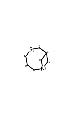 C1CSCC2CN(C1)C2